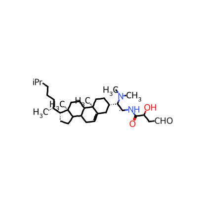 CC(C)CCC[C@@H](C)[C@H]1CCC2C3CC=C4C[C@@H](C([CH]NC(=O)C(O)CC=O)N(C)C)CC[C@]4(C)C3CC[C@@]21C